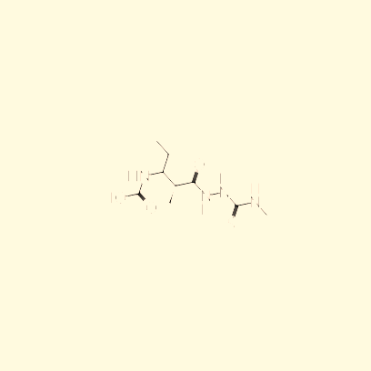 CCC(NC(=O)O)[C@H](C)C(=O)NNC(=S)NC